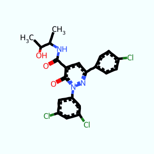 CC(O)C(C)NC(=O)c1cc(-c2ccc(Cl)cc2)nn(-c2cc(Cl)cc(Cl)c2)c1=O